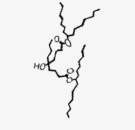 CCCCCCCC(CCCCCCC)OC(=O)CCCC(O)(CCCC)CCCC(=O)OC(CCCCCCC)CCCCCCC